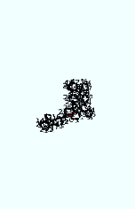 c1ccc(-c2c(N(c3ccc(-c4ccc5c(c4)sc4ccccc45)cc3)c3ccc4c(c3)C3(c5ccccc5-c5ccccc53)c3ccccc3-4)ccc3ccccc23)cc1